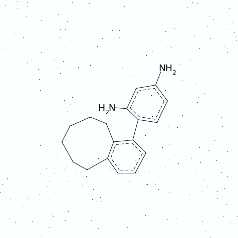 Nc1ccc(-c2cccc3c2CCCCCC3)c(N)c1